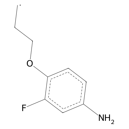 [CH2]CCOc1ccc(N)cc1F